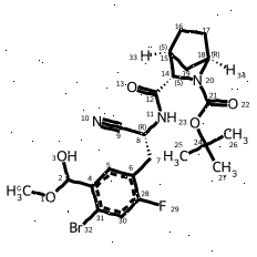 COC(O)c1cc(C[C@H](C#N)NC(=O)[C@@H]2[C@H]3CC[C@H](C3)N2C(=O)OC(C)(C)C)c(F)cc1Br